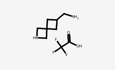 NCC1CC2(CNC2)C1.O=C(O)C(F)(F)F